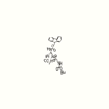 CC(C)C[C@@H](CN(CC(=O)O)S(=O)(=O)CCNC(=O)OC(C)(C)C)NC(=O)OCC1c2ccccc2-c2ccccc21